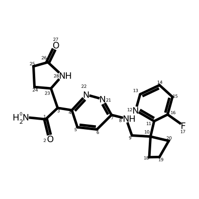 NC(=O)C(c1ccc(NCC2(c3ncccc3F)CCC2)nn1)C1CCC(=O)N1